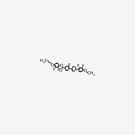 CCCCOc1ccc(OC(=O)c2ccc(C3=CCC(c4ccc(OCC)c(F)c4F)CC3)c(F)c2)c(F)c1F